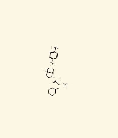 CC(C)N[C@@H](CC1CCCCC1)C(=O)N[C@H]1CC[C@@H]2CN(S(=O)(=O)c3ccc(C(F)(F)F)cc3)C[C@@H]21